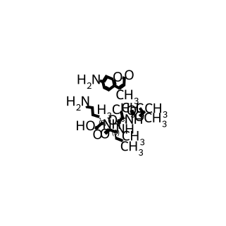 CC(C)C[C@H](NC(=O)[C@@H](NC(=O)OC(C)(C)C)C(C)C)C(=O)N[C@@H](CCCCN)C(=O)O.Cc1cc(=O)oc2cc(N)ccc12